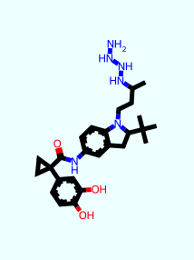 CC(CCN1c2ccc(NC(=O)C3(c4ccc(O)c(O)c4)CC3)cc2CC1C(C)(C)C)NNNN